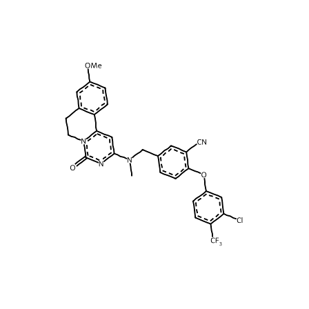 COc1ccc2c(c1)CCn1c-2cc(N(C)Cc2ccc(Oc3ccc(C(F)(F)F)c(Cl)c3)c(C#N)c2)nc1=O